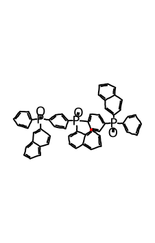 O=P(c1ccccc1)(c1ccc(P(=O)(c2ccc(P(=O)(c3ccccc3)c3ccc4ccccc4c3)cc2)c2cccc3ccccc23)cc1)c1ccc2ccccc2c1